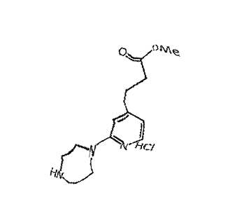 COC(=O)CCc1ccnc(N2CCNCC2)c1.Cl